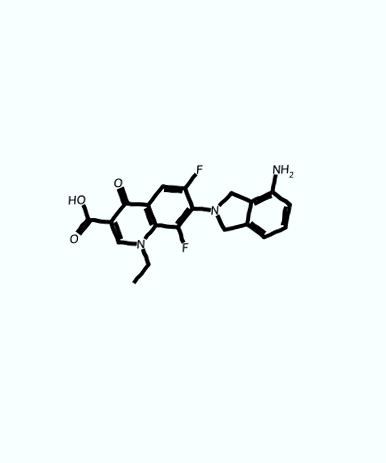 CCn1cc(C(=O)O)c(=O)c2cc(F)c(N3Cc4cccc(N)c4C3)c(F)c21